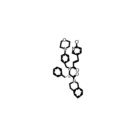 O=C([C@H](Cc1ccccc1)N(Cc1ccc(N2CCOCC2)cc1)C(=O)C=Cc1ccc(Cl)nc1)N1CCc2ccccc2C1